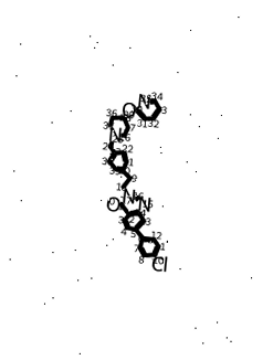 O=c1c2ccc(-c3ccc(Cl)cc3)cc2ncn1CCc1ccc(CN2CCC(Oc3ccccn3)CC2)cc1